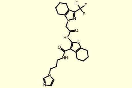 O=C(Cn1nc(C(F)(F)F)c2c1CCCC2)Nc1sc2c(c1C(=O)NCCCn1ccnc1)CCCC2